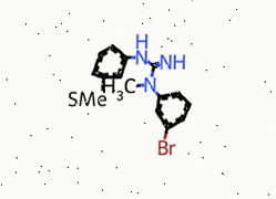 CSc1cccc(NC(=N)N(C)c2cccc(Br)c2)c1